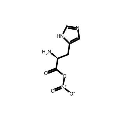 N[C@@H](Cc1cnc[nH]1)C(=O)O[N+](=O)[O-]